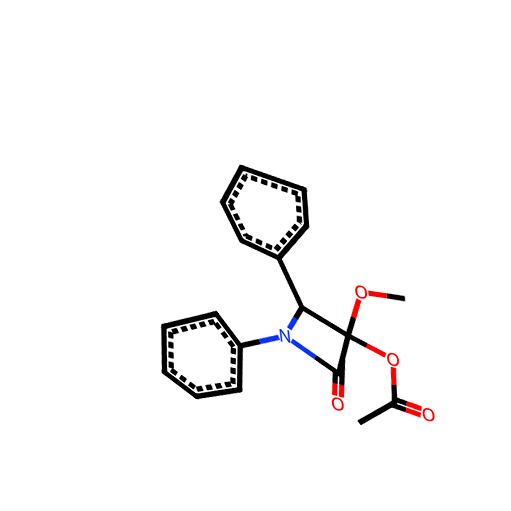 COC1(OC(C)=O)C(=O)N(c2ccccc2)C1c1ccccc1